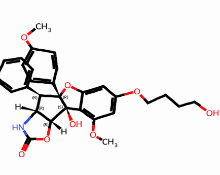 COc1ccc([C@@]23Oc4cc(OCCCCO)cc(OC)c4[C@]2(O)[C@@H]2OC(=O)N[C@@H]2[C@H]3c2ccccc2)cc1